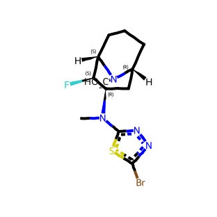 CN(c1nnc(Br)s1)[C@@H]1C[C@H]2CCC[C@@H]([C@@H]1F)N2C(=O)O